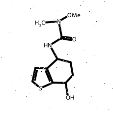 CON(C)C(=O)NC1CCC(O)c2sccc21